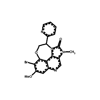 COc1cc2ncc3c4c2c(c1Br)OCC(c1ccccn1)n4c(=O)n3C